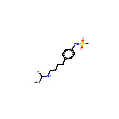 CCCCCCC(CC)NCCCCc1ccc(NS(C)(=O)=O)cc1